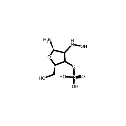 B[C@@H]1O[C@H](CO)C(OP(=O)(O)O)C1NO